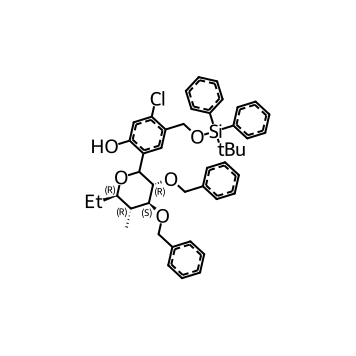 CC[C@H]1OC(c2cc(CO[Si](c3ccccc3)(c3ccccc3)C(C)(C)C)c(Cl)cc2O)[C@H](OCc2ccccc2)[C@@H](OCc2ccccc2)[C@@H]1C